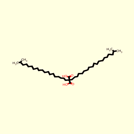 CC(C)CCCCCCCCCCCCCCCCCC(CCCCCCCCCCCCCCCCCC(C)C)(C(=O)O)C(=O)O